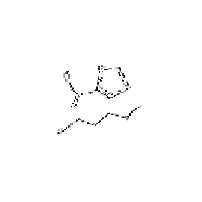 CCCCCCl.O=[N+]([O-])c1ccco1